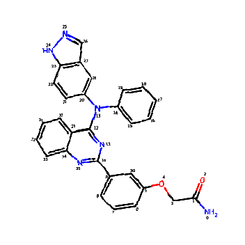 NC(=O)COc1cccc(-c2nc(N(c3ccccc3)c3ccc4[nH]ncc4c3)c3ccccc3n2)c1